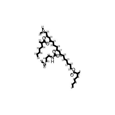 CCCCCC(C)C(=O)OCCCCCCC(CCCCCC(CCCN(C)C)OC(=O)C(C)CCCCC)OC(=O)NCCCN(C)C